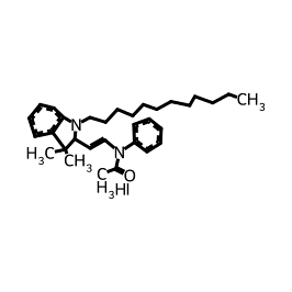 CCCCCCCCCCCCN1c2ccccc2C(C)(C)C1C=CN(C(C)=O)c1ccccc1.I